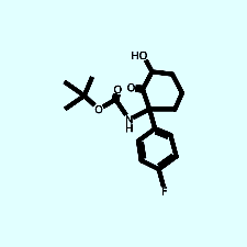 CC(C)(C)OC(=O)NC1(c2ccc(F)cc2)CCCC(O)C1=O